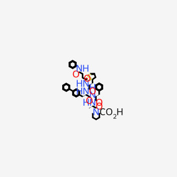 C[C@H](NC(=O)[C@@H](Cc1ccccc1)NC(=O)[C@H](Cc1ccc(-c2ccccc2)cc1)NC(=O)[C@@H](CC1CC=CS1)NC(=O)CCC(=O)Nc1ccccc1)C(=O)N1CCCC[C@@H]1C(=O)O